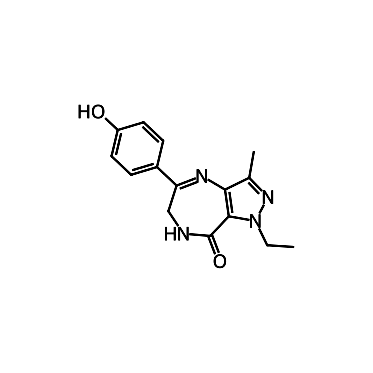 CCn1nc(C)c2c1C(=O)NCC(c1ccc(O)cc1)=N2